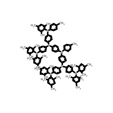 Cc1ccc(N(c2ccc(N(c3ccc(N(c4ccc(C)cc4)c4c(C)cc(C)cc4C)cc3)c3ccc(N(c4c(C)cc(C)cc4C)c4c(C)cc(C)cc4C)cc3)cc2)c2ccc(N(c3ccc(N(c4c(C)cc(C)cc4C)c4c(C)cc(C)cc4C)cc3)c3ccc(N(c4c(C)cc(C)cc4C)c4c(C)cc(C)cc4C)cc3)cc2)cc1